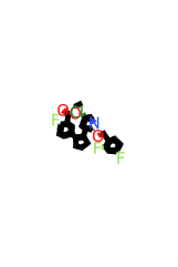 CCOC(=O)c1cc(C2=C(c3cc(Cl)cnc3OCc3ccc(F)cc3F)CCC2)ccc1F